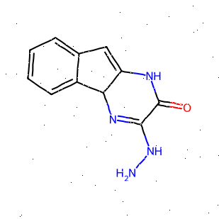 NNC1=NC2C(=Cc3ccccc32)NC1=O